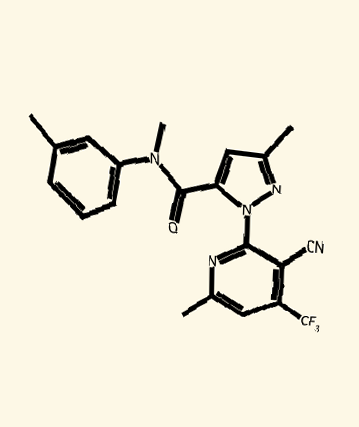 Cc1cccc(N(C)C(=O)c2cc(C)nn2-c2nc(C)cc(C(F)(F)F)c2C#N)c1